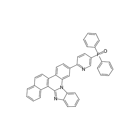 O=P(c1ccccc1)(c1ccccc1)c1ccc(-c2ccc3c4ccc5ccccc5c4c4nc5ccccc5n4c3c2)nc1